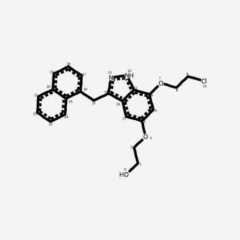 OCCOc1cc(OCCCl)c2[nH]nc(Cc3cccc4ccccc34)c2c1